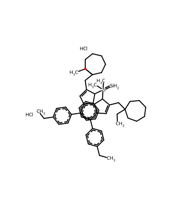 CCc1ccc(-c2cccc3c2C=C(CC2(CC)CCCCCC2)[CH]3[Zr]([CH3])([CH3])(=[SiH2])[CH]2C(CC3(CC)CCCCCC3)=Cc3c(-c4ccc(CC)cc4)cccc32)cc1.Cl.Cl